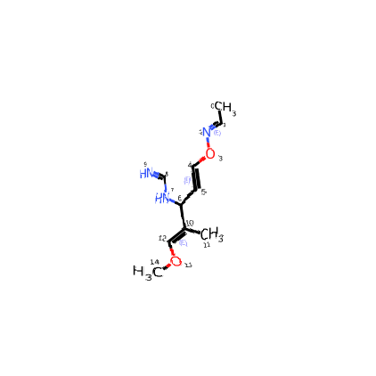 C/C=N/O/C=C/C(NC=N)/C(C)=C/OC